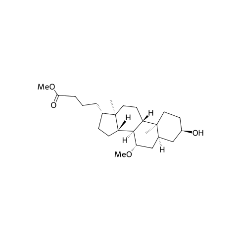 COC(=O)CCC[C@H]1CC[C@H]2[C@@H]3[C@@H](OC)C[C@@H]4C[C@H](O)CC[C@]4(C)[C@H]3CC[C@]12C